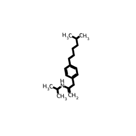 C=C(Cc1ccc(CCCCC(C)C)cc1)NC(C)C